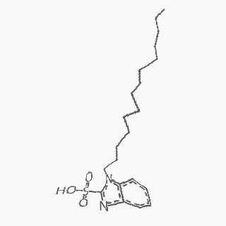 CCCCCCCCCCCCCCn1c(S(=O)(=O)O)nc2ccccc21